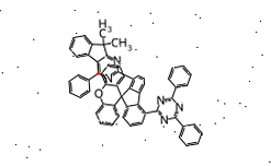 CC1(C)c2ccccc2-c2c(-c3ccccc3)nc(-c3cccc4c3C3(c5ccccc5Oc5ccccc53)c3cccc(-c5nc(-c6ccccc6)nc(-c6ccccc6)n5)c3-4)nc21